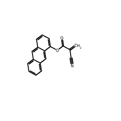 C=C(C#N)C(=O)Oc1cccc2cc3ccccc3cc12